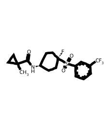 CC1(C(=O)N[C@H]2CC[C@](F)(S(=O)(=O)c3cccc(C(F)(F)F)c3)CC2)CC1